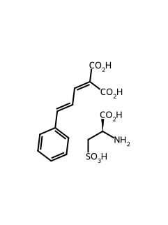 N[C@@H](CS(=O)(=O)O)C(=O)O.O=C(O)C(=CC=Cc1ccccc1)C(=O)O